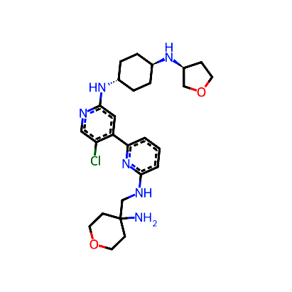 NC1(CNc2cccc(-c3cc(N[C@H]4CC[C@H](N[C@H]5CCOC5)CC4)ncc3Cl)n2)CCOCC1